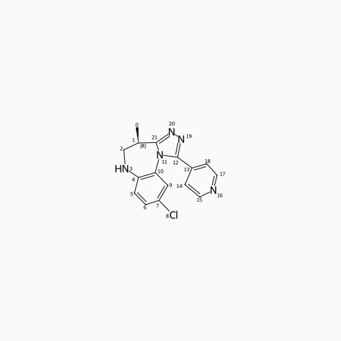 C[C@@H]1CNc2ccc(Cl)cc2-n2c(-c3ccncc3)nnc21